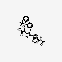 CC(=O)Nc1ncnc2c1ncn2[C@@H]1OC[C@@H]([C@H](CO[Si](c2ccccc2)(c2ccccc2)C(C)(C)C)C(=O)O)[C@H]1F